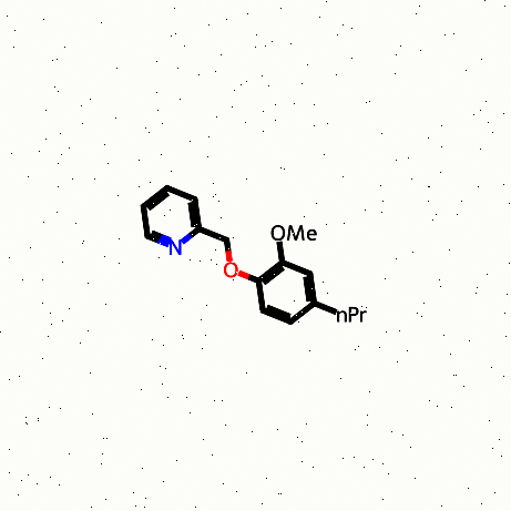 CCCc1ccc(OCc2ccccn2)c(OC)c1